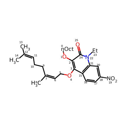 CCCCCCCCOc1c(OCC=C(C)CCC=C(C)C)c2ccc([N+](=O)[O-])cc2n(CC)c1=O